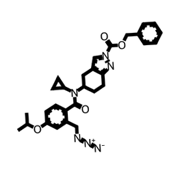 CC(C)Oc1ccc(C(=O)N(C2CC2)C2CCc3nn(C(=O)OCc4ccccc4)cc3C2)c(CN=[N+]=[N-])c1